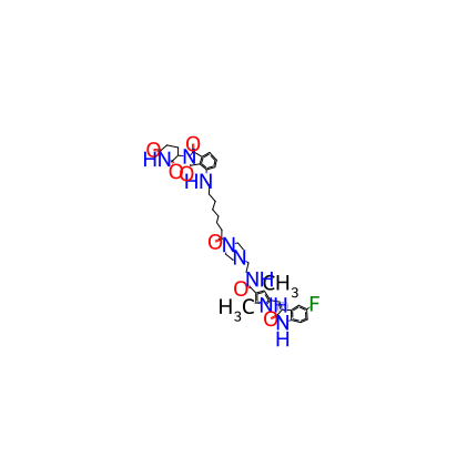 Cc1[nH]c(/C=C2\C(=O)Nc3ccc(F)cc32)c(C)c1C(=O)NCCN1CCN(C(=O)CCCCCCCNc2cccc3c2C(=O)N(C2CCC(=O)NC2=O)C3=O)CC1